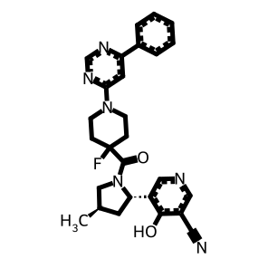 C[C@@H]1C[C@@H](c2cncc(C#N)c2O)N(C(=O)C2(F)CCN(c3cc(-c4ccccc4)ncn3)CC2)C1